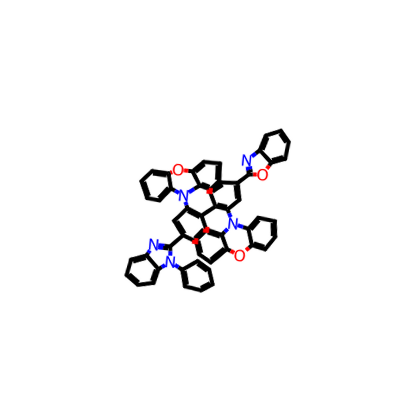 c1ccc(-n2c(-c3ccc(-c4ccc(-c5nc6ccccc6o5)cc4N4c5ccccc5Oc5ccccc54)c(N4c5ccccc5Oc5ccccc54)c3)nc3ccccc32)cc1